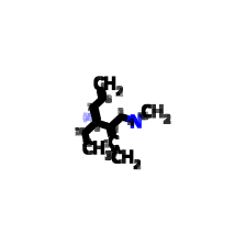 C=C=C(CN=C)/C(=C\C=C)CC